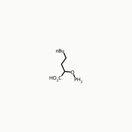 CCCCCCC(OP)C(=O)O